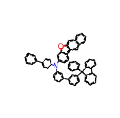 C1=CC(N(c2cccc(-c3cccc(C4(c5ccccc5)c5ccccc5-c5ccccc54)c3)c2)c2ccc3c(c2)oc2cc4ccccc4cc23)CC=C1c1ccccc1